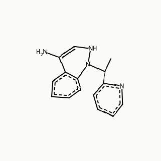 CC(c1ccccn1)N1NC=C(N)c2ccccc21